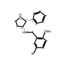 COc1ccc(Br)cc1CN[C@@H]1CCN[C@@H]1c1ccccc1